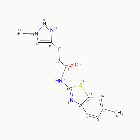 Cc1ccc2nc(NC(=O)CCc3cn(C(C)C)nn3)sc2c1